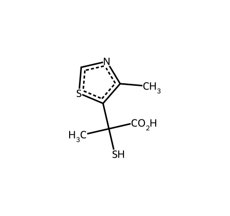 Cc1ncsc1C(C)(S)C(=O)O